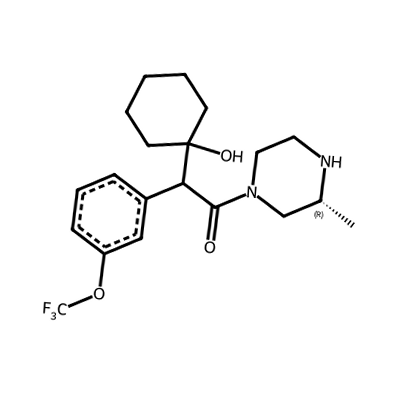 C[C@@H]1CN(C(=O)C(c2cccc(OC(F)(F)F)c2)C2(O)CCCCC2)CCN1